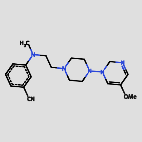 COC1=CN(N2CCN(CCN(C)c3cccc(C#N)c3)CC2)CN=C1